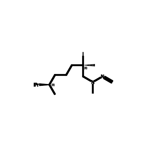 C=NN(C)C[C@](C)(I)CCC[C@@H](C)C(C)C